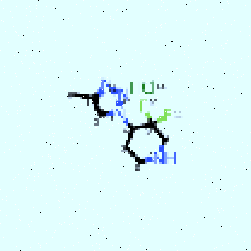 Cc1cn(C2CCNCC2(F)F)nn1.Cl